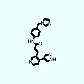 O=C(/C=C/c1cnccc1-c1cn[nH]c1)Nc1ccc(Cn2ccnc2)cc1